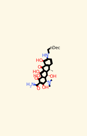 CCCCCCCCCCCCNc1ccc2c(c1O)C(=O)C1=C(O)[C@]3(O)C(=O)C(C(N)=O)=C(O)[C@@H](N(C)C)C3[C@@H](O)C1[C@H]2C